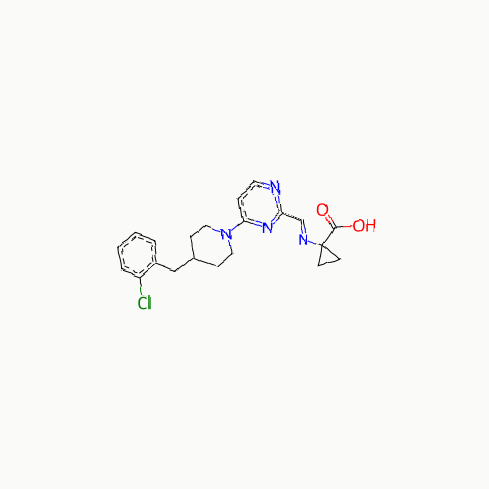 O=C(O)C1(N=Cc2nccc(N3CCC(Cc4ccccc4Cl)CC3)n2)CC1